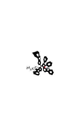 CC1(C)c2ccccc2-c2ccc(N(c3ccc(-c4ccccc4-n4c5c(c6ccccc64)CCC=C5)c(-c4ccccc4)c3)c3ccc4c(c3)sc3ccccc34)cc21